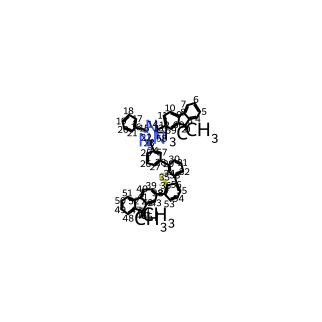 CC1(C)c2ccccc2-c2ccc(-c3nc(-c4ccccc4)nc(-c4cccc(-c5cccc6c5sc5c(-c7ccc8c(c7)C(C)(C)c7ccccc7-8)cccc56)c4)n3)cc21